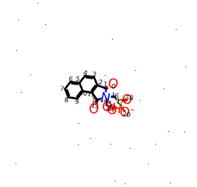 O=C1c2ccc3ccccc3c2C(=O)[N+]1(O)CS(=O)(=O)[O-]